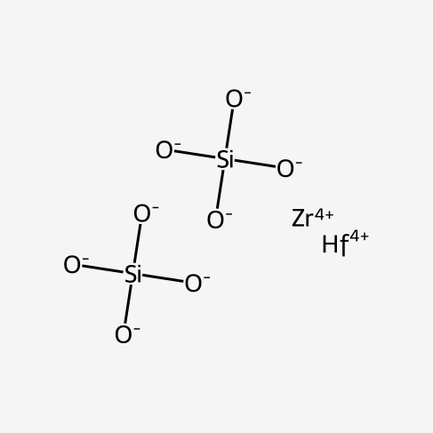 [Hf+4].[O-][Si]([O-])([O-])[O-].[O-][Si]([O-])([O-])[O-].[Zr+4]